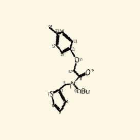 CCCCN(Cc1cccs1)C(=O)COc1ccc(C)cc1